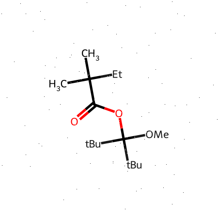 CCC(C)(C)C(=O)OC(OC)(C(C)(C)C)C(C)(C)C